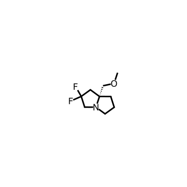 COC[C@]12CCCN1CC(F)(F)C2